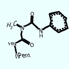 CCCCCNC(=O)N(C)C(=O)Nc1ccccc1